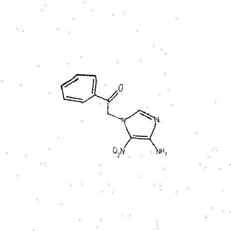 Nc1ncn(CC(=O)c2ccccc2)c1[N+](=O)[O-]